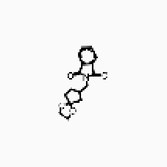 O=C1c2ccccc2C(=O)N1CC1CCC2(C1)OCCO2